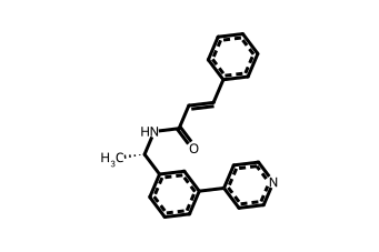 C[C@H](NC(=O)C=Cc1ccccc1)c1cccc(-c2ccncc2)c1